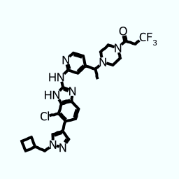 CC(c1ccnc(Nc2nc3ccc(-c4cnn(CC5CCC5)c4)c(Cl)c3[nH]2)c1)N1CCN(C(=O)CC(F)(F)F)CC1